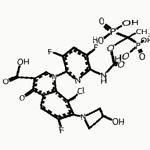 CC(OC(=O)Nc1nc(-n2cc(C(=O)O)c(=O)c3cc(F)c(N4CC(O)C4)c(Cl)c32)c(F)cc1F)(P(=O)(O)O)P(=O)(O)O